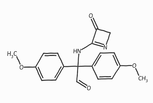 COc1ccc(C(C=O)(NC2=NCC2=O)c2ccc(OC)cc2)cc1